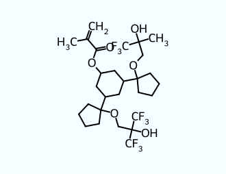 C=C(C)C(=O)OC1CC(C2(OCC(C)(O)C(F)(F)F)CCCC2)CC(C2(OCC(O)(C(F)(F)F)C(F)(F)F)CCCC2)C1